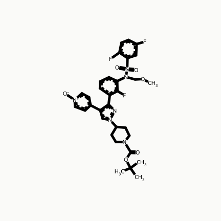 COCN(c1cccc(-c2nn(C3CCN(C(=O)OC(C)(C)C)CC3)cc2-c2cc[n+]([O-])cc2)c1F)S(=O)(=O)c1cc(F)ccc1F